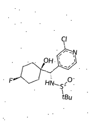 CC(C)(C)[S+]([O-])N[C@@H](c1ccnc(Cl)c1)[C@]1(O)CC[C@@H](F)CC1